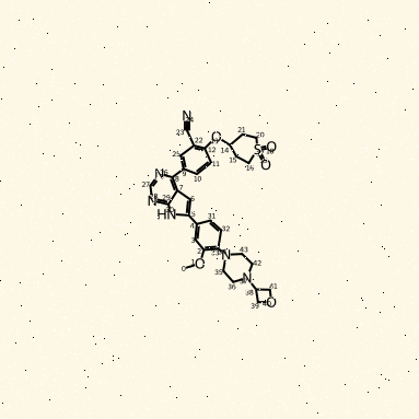 COc1cc(-c2cc3c(-c4ccc(OC5CCS(=O)(=O)CC5)c(C#N)c4)ncnc3[nH]2)ccc1N1CCN(C2COC2)CC1